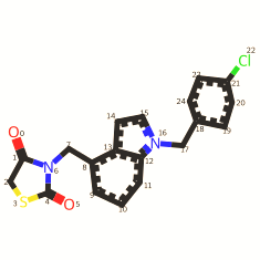 O=C1CSC(=O)N1Cc1cccc2c1ccn2Cc1ccc(Cl)cc1